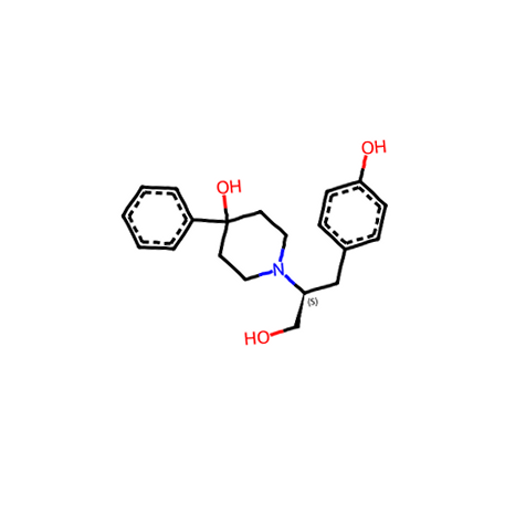 OC[C@H](Cc1ccc(O)cc1)N1CCC(O)(c2ccccc2)CC1